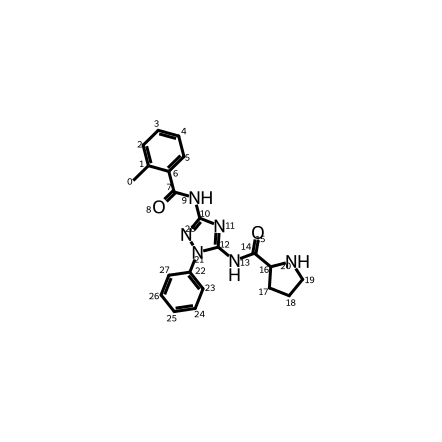 Cc1ccccc1C(=O)Nc1nc(NC(=O)C2CCCN2)n(-c2ccccc2)n1